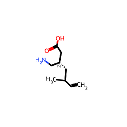 C=CC(C)C[C@H](CN)CC(=O)O